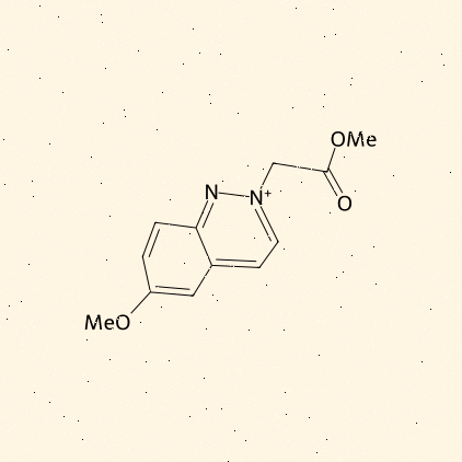 COC(=O)C[n+]1ccc2cc(OC)ccc2n1